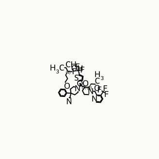 CCC[C@H]1N(C(=O)c2ncccc2C(F)(F)F)CCC[C@@]1(Oc1csc(C(F)(F)F)c1)C(=O)N1CCC(C#N)(c2ccccc2OCCC[C@H](CO)C(C)C)CC1